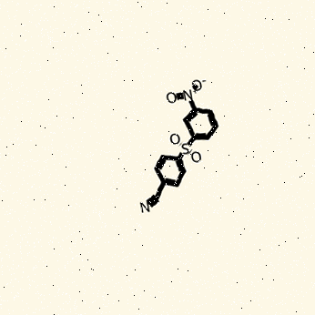 N#Cc1ccc(S(=O)(=O)c2cccc([N+](=O)[O-])c2)cc1